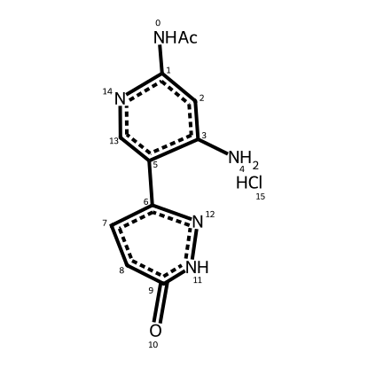 CC(=O)Nc1cc(N)c(-c2ccc(=O)[nH]n2)cn1.Cl